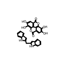 O=c1oc2c(O)c(O)cc3c(=O)oc4c(O)c(O)cc1c4c23.c1ccc2[nH]c(Cc3cc4ccccc4[nH]3)cc2c1